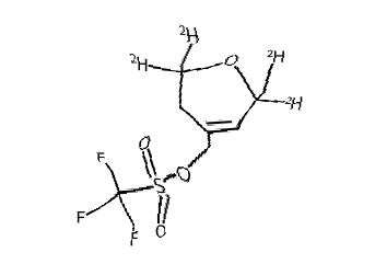 [2H]C1([2H])C=C(OS(=O)(=O)C(F)(F)F)CC([2H])([2H])O1